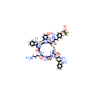 CC(C)[C@@H]1NC(=O)[C@H](CCCCN)NC(=O)[C@@H](Cc2c[nH]c3ccccc23)NC(=O)[C@H](Cc2ccc(O)cc2)NC(=O)[C@@H](NC(=O)[C@H](N)Cc2ccccc2)CSSC[C@@H](C(=O)N[C@@H](Cc2c[nH]c3ccccc23)C(N)=O)NC1=O.O=C(O)C(F)(F)F